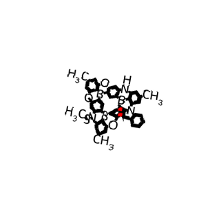 CSN1c2cc3c(cc2B2c4ccccc4Oc4cc(C)cc1c42)B1c2cc4c(cc2Oc2cc(C)cc(c21)O3)Nc1cc(C)cc2c1B4c1cccc3c4ccccc4n-2c13